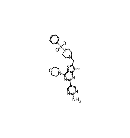 Cc1c(CN2CCN(S(=O)(=O)c3ccccc3)CC2)sc2c(N3CCOCC3)nc(-c3cnc(N)nc3)nc12